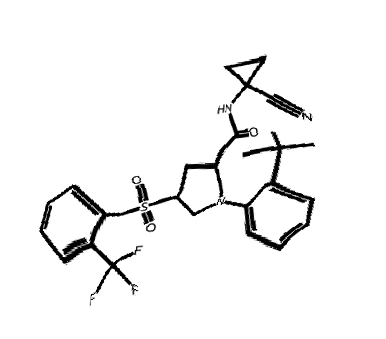 CC(C)(C)c1ccccc1N1CC(S(=O)(=O)c2ccccc2C(F)(F)F)CC1C(=O)NC1(C#N)CC1